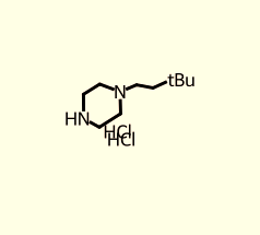 CC(C)(C)CCN1CCNCC1.Cl.Cl